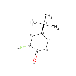 CC(C)(C)[C@H]1CCC(=O)[C@H](F)C1